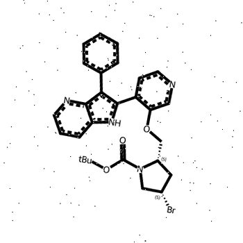 CC(C)(C)OC(=O)N1C[C@@H](Br)C[C@H]1COc1cnccc1-c1[nH]c2cccnc2c1-c1ccccc1